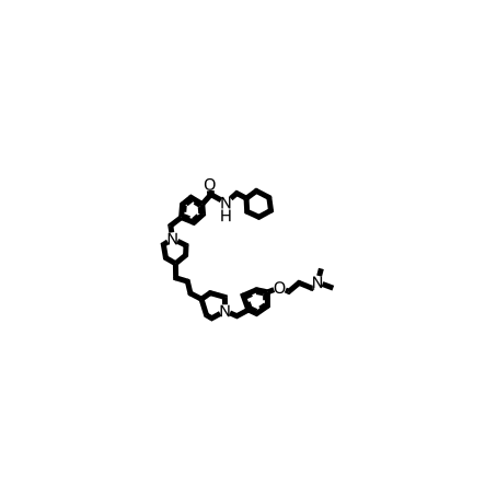 CN(C)CCCOc1ccc(CN2CCC(CCCC3CCN(Cc4ccc(C(=O)NCC5CCCCC5)cc4)CC3)CC2)cc1